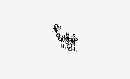 Cc1c(F)cccc1-n1nc(CC(C)C)cc1NC(=O)Nc1cnc(Oc2ccc(-c3cnc(N4CCCC4=O)s3)cc2)nc1